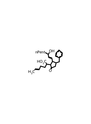 C/C=C/CCC(C(=O)O)C1C(=O)CC(Cc2ccccc2)C1/C=C/C(O)CCCCC